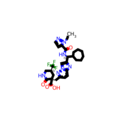 CCn1nccc1C(=O)N[C@H](c1cn2nc(C[C@@]3(C(=O)O)C[C@H](C(F)(F)F)CNC3=O)ccc2n1)C1CCCCCC1